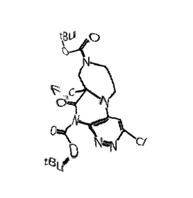 CC(C)(C)OC(=O)N1CCN2c3cc(Cl)nnc3N(C(=O)OC(C)(C)C)C(=O)C2(C(F)(F)F)C1